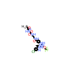 Cc1cc(NC(=O)C(=O)NCCCNC(=O)c2ccc(Nc3nc(NC4(c5ccc(Cl)cc5)CC4)nc(OCC(F)(F)F)n3)cc2)no1